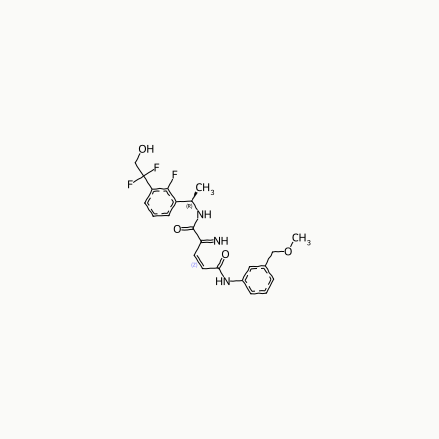 COCc1cccc(NC(=O)/C=C\C(=N)C(=O)N[C@H](C)c2cccc(C(F)(F)CO)c2F)c1